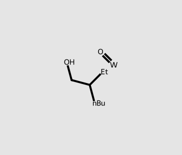 CCCCC(CC)CO.[O]=[W]